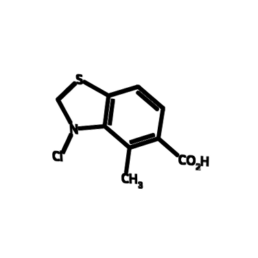 Cc1c(C(=O)O)ccc2c1N(Cl)CS2